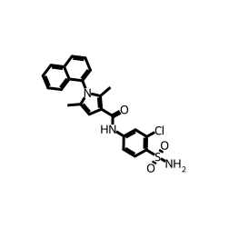 Cc1cc(C(=O)Nc2ccc(S(N)(=O)=O)c(Cl)c2)c(C)n1-c1cccc2ccccc12